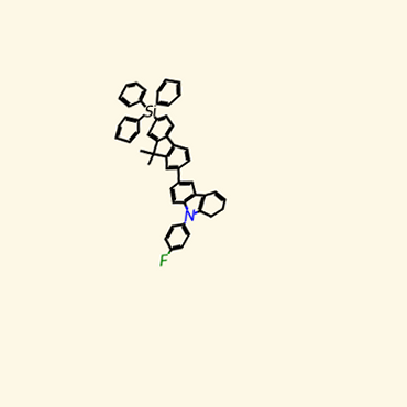 CC1(C)c2cc(-c3ccc4c(c3)c3c(n4-c4ccc(F)cc4)CCC=C3)ccc2-c2ccc([Si](c3ccccc3)(c3ccccc3)c3ccccc3)cc21